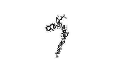 C=N/C(=C\C=C/C)c1nc(NC[C@H]2C[C@](C)(OC(=O)CCOCCOCCOCC)C2)cc(N2CCc3ccccc3CC2)n1